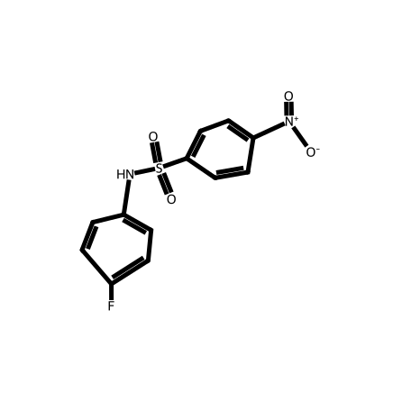 O=[N+]([O-])c1ccc(S(=O)(=O)Nc2ccc(F)cc2)cc1